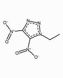 CCn1nnc([N+](=O)[O-])c1[N+](=O)[O-]